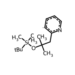 CC(C)(Cc1[c]cccn1)O[Si](C)(C)C(C)(C)C